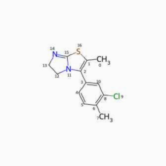 CC1=C(c2ccc(C)c(Cl)c2)N2CCN=C2S1